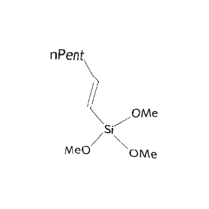 CCCCCC=C[Si](OC)(OC)OC